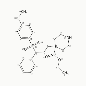 CCOC(=O)C1(CCC(c2ccccc2)S(=O)(=O)c2ccc(OC)cc2)CCNCC1